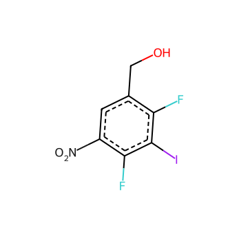 O=[N+]([O-])c1cc(CO)c(F)c(I)c1F